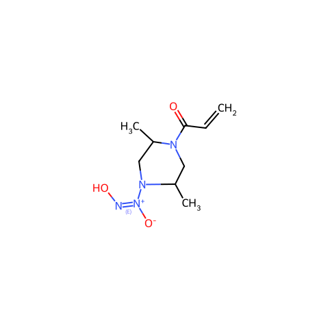 C=CC(=O)N1CC(C)N(/[N+]([O-])=N\O)CC1C